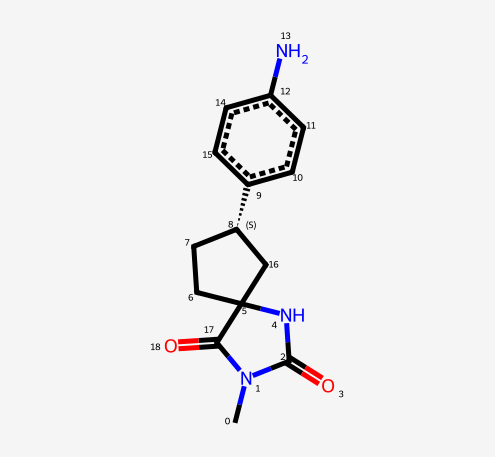 CN1C(=O)NC2(CC[C@H](c3ccc(N)cc3)C2)C1=O